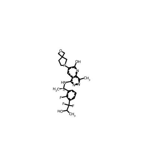 Cc1nnc(N[C@H](C)c2cccc(C(F)(F)C(C)O)c2F)c2cc(N3CCC4(COC4)C3)c(O)nc12